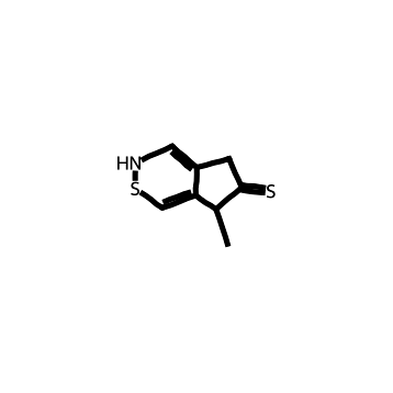 CC1C(=S)CC2=CNSC=C21